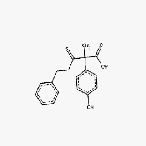 CC(C(=O)O)(C(=S)CCc1ccccc1)c1ccc(O)cc1